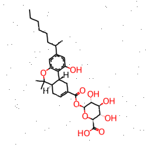 CCCCCCC(C)c1cc(O)c2c(c1)OC(C)(C)[C@@H]1CC=C(C(=O)O[C@@H]3O[C@H](C(=O)O)[C@@H](O)[C@H](O)[C@H]3O)C[C@@H]21